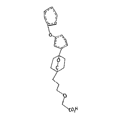 O=C(O)COCCCC12CCC(c3cccc(Oc4ccccc4)c3)(CC1)OC2